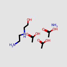 CC(=O)O.CC(=O)O.CC(=O)O.N.NCCNCCO